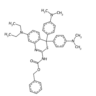 CCN(CC)c1ccc2c(c1)N=C(NC(=O)OCc1ccccc1)SC2(c1ccc(N(C)C)cc1)c1ccc(N(C)C)cc1